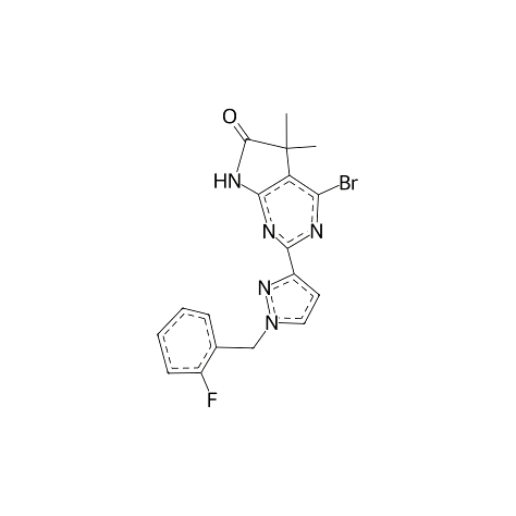 CC1(C)C(=O)Nc2nc(-c3ccn(Cc4ccccc4F)n3)nc(Br)c21